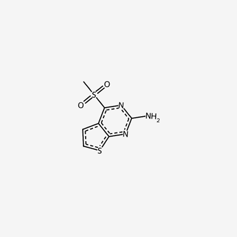 CS(=O)(=O)c1nc(N)nc2sccc12